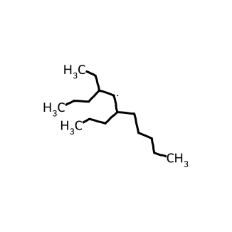 CCCCCC([CH]C(CC)CCC)CCC